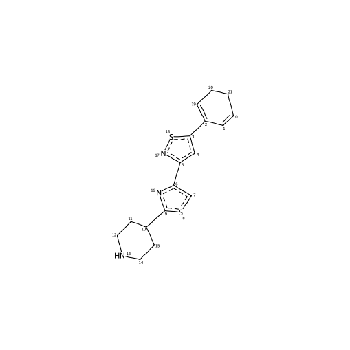 C1=CC(c2cc(-c3csc(C4CCNCC4)n3)ns2)=CCC1